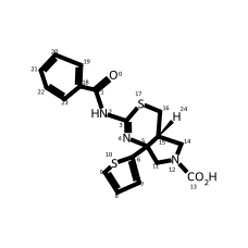 O=C(NC1=NC2(c3cccs3)CN(C(=O)O)C[C@H]2CS1)c1ccccc1